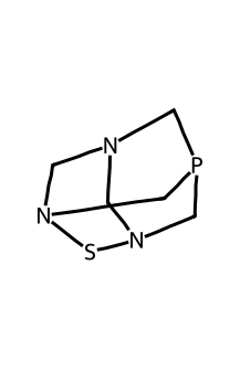 C1N2CN3CP(C2)CN1S3